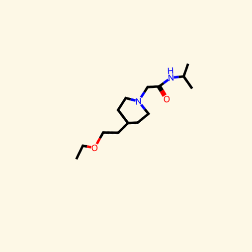 CCOCCC1CCN(CC(=O)NC(C)C)CC1